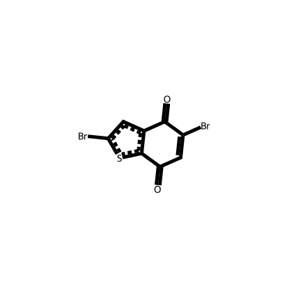 O=C1C(Br)=CC(=O)c2sc(Br)cc21